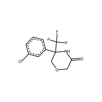 O=C1COCC(c2cccc(Cl)c2)(C(F)(F)F)N1